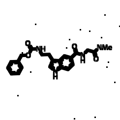 CNC(=O)CNC(=O)c1ccc2[nH]cc(CCNC(=O)OCc3ccccc3)c2c1